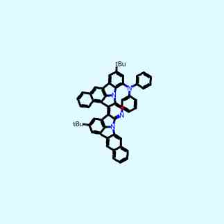 CC(C)(C)c1cc(N(c2ccccc2)c2ccccc2)c2c(c1)c1cc3ccccc3c3c4c5c6cc(C(C)(C)C)cc7c8cc9ccccc9cc8n(c5ncc4n2c13)c76